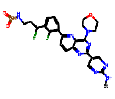 CCNc1ncc(-c2nc(N3CCOCC3)c3nc(-c4cccc(C(F)CCN[SH](=O)=O)c4F)ccc3n2)cn1